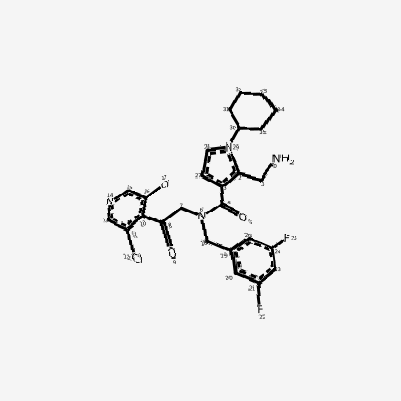 NCc1c(C(=O)N(CC(=O)c2c(Cl)cncc2Cl)Cc2cc(F)cc(F)c2)ccn1C1CCCCC1